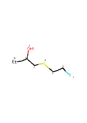 CCC(O)CSCCF